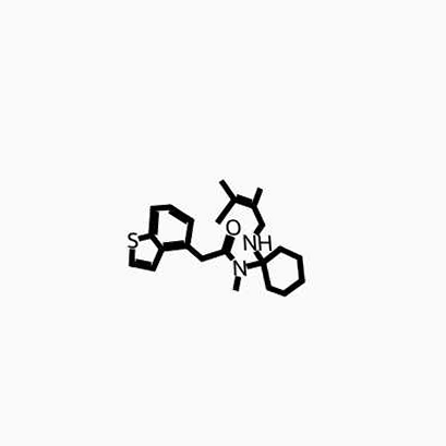 CC(C)=C(C)CNC1(N(C)C(=O)Cc2cccc3sccc23)CCCCC1